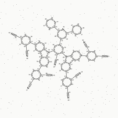 N#Cc1ccc(-c2ccc3c(c2)c2cc(-c4ccc(C#N)cc4C#N)ccc2n3-c2cc(-c3cc(-c4ccccc4)nc(-c4ccccc4)c3)cc(-n3c4ccc(-c5ccc(C#N)cc5C#N)cc4c4cc(-c5ccc(C#N)cc5C#N)ccc43)c2C#N)c(C#N)c1